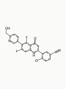 N#Cc1ccc(Cl)c(-c2cc(=O)c3c(F)c(-c4ccc(CO)nc4)c(F)cc3[nH]2)c1